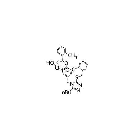 CCCCc1nnc(SCc2ccccc2C(=O)O)n1Cc1ccc(OC(C(=O)O)c2ccccc2C)c(Cl)c1